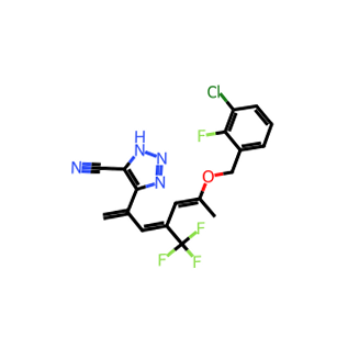 C=C(/C=C(\C=C(/C)OCc1cccc(Cl)c1F)C(F)(F)F)c1nn[nH]c1C#N